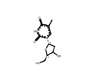 Cc1cn([C@@H]2CC(O)[C@@H](CO)O2)c(=O)[nH]c1=O